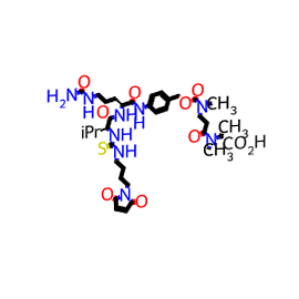 CC(C)[C@H](NC(=S)NCCCCN1C(=O)C=CC1=O)C(=O)N[C@@H](CCCNC(N)=O)C(=O)Nc1ccc(COC(=O)N(C)CCC(=O)N(C)[C@@H](C)C(=O)O)cc1